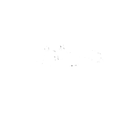 Cn1c(=O)n(CC(C)(C)C)c2ccc(-c3ccoc3)cc21